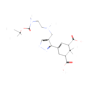 COC(=O)C1CC(c2n[nH]cc2CN(C)CCN(C)C(=O)OC(C)(C)C)=CC(C(=O)O)C1(C)C